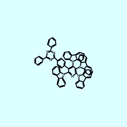 c1ccc(-c2nc(-c3ccccc3)nc(-c3ccc(-c4c(-n5c6ccccc6c6ccccc65)nc(-n5c6ccccc6c6ccccc65)c(-n5c6ccccc6c6ccccc65)c4-n4c5ccccc5c5ccccc54)cc3)n2)cc1